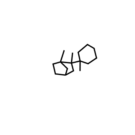 CC1(C2(C)CC3CCC2(C)C3)CCCCC1